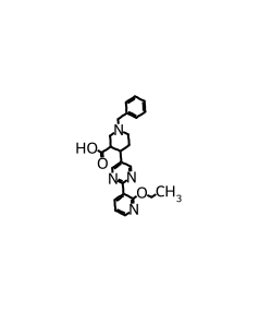 CCOc1ncccc1-c1ncc(C2CCN(Cc3ccccc3)CC2C(=O)O)cn1